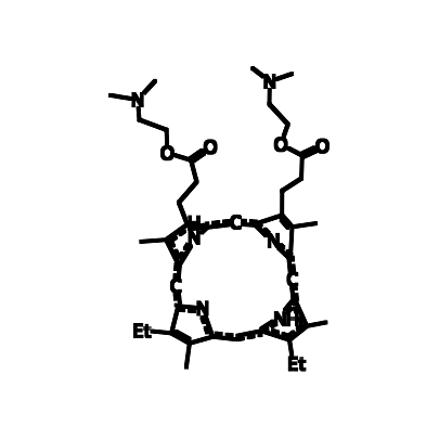 CCC1=C(C)c2cc3[nH]c(cc4nc(cc5[nH]c(cc1n2)c(C)c5CCC(=O)OCCN(C)C)C(CCC(=O)OCCN(C)C)=C4C)c(C)c3CC